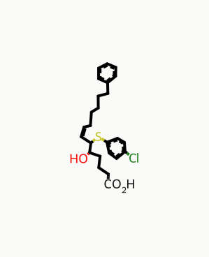 O=C(O)CCCC(O)C(/C=C\CCCCCc1ccccc1)Sc1ccc(Cl)cc1